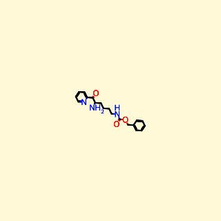 NC(CCCCNC(=O)OCc1ccccc1)C(=O)c1ccccn1